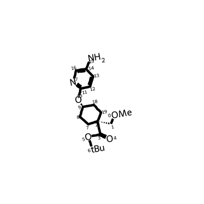 COC[C@]1(C(=O)OC(C)(C)C)CC[C@H](Oc2ccc(N)cn2)CC1